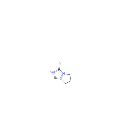 S=c1[nH]cc2n1CCC2